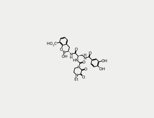 CCN1CCN(C(=O)N[C@H](CNC(=O)c2ccc(O)c(O)c2)C(=O)N[C@H]2Cc3cccc(C(=O)O)c3OB2O)C(=O)C1=O